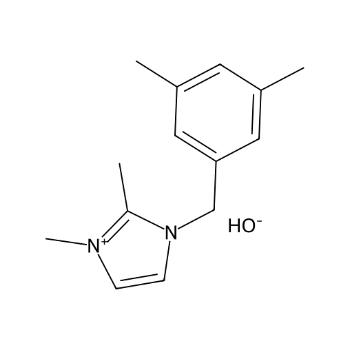 Cc1cc(C)cc(Cn2cc[n+](C)c2C)c1.[OH-]